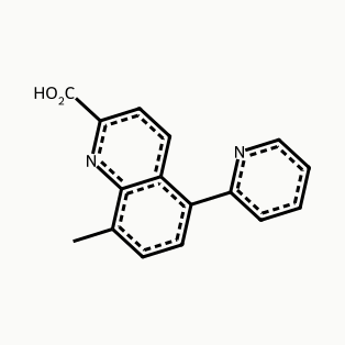 Cc1ccc(-c2ccccn2)c2ccc(C(=O)O)nc12